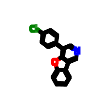 Clc1ccc(-c2cncc3c2oc2ccccc23)cc1